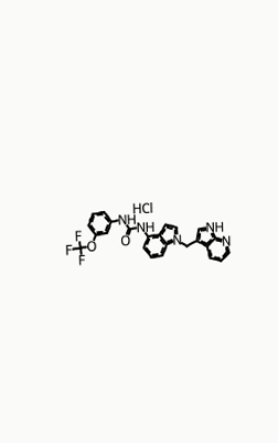 Cl.O=C(Nc1cccc(OC(F)(F)F)c1)Nc1cccc2c1ccn2Cc1c[nH]c2ncccc12